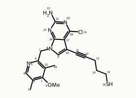 COc1c(C)cnc(Cn2cc(C#CCCCS)c3c(Cl)nc(N)nc32)c1C